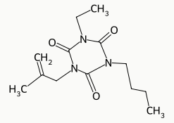 C=C(C)Cn1c(=O)n(CC)c(=O)n(CCCC)c1=O